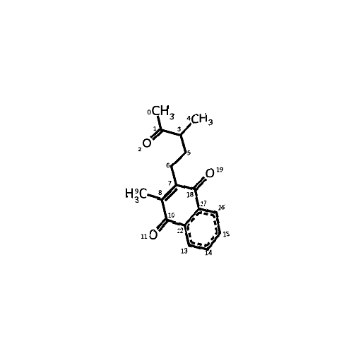 CC(=O)C(C)CCC1=C(C)C(=O)c2ccccc2C1=O